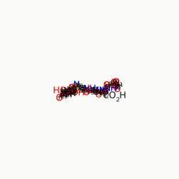 C[C@]12C=CC(=O)C=C1CC[C@@H]1[C@@H]2[C@@H](O)C[C@@]2(C)[C@H]1C[C@H]1O[C@@H](c3cnc(Cc4cccc(NC(=O)OCc5ccc(NC(=O)[C@H](CCC(=O)O)NC(=O)CNC(=O)CCC(=O)ON6C(=O)C=CC6=O)cc5)c4)s3)O[C@]12C(=O)CO